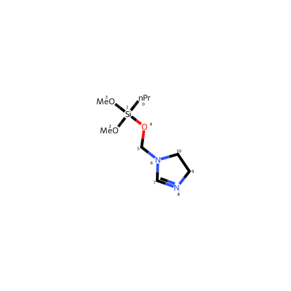 CCC[Si](OC)(OC)OCN1C=NCC1